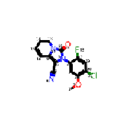 COc1cc(-n2c(C#N)c3n(c2=O)CCC=C3)c(F)cc1Cl